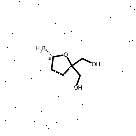 B[C@H]1CCC(CO)(CO)O1